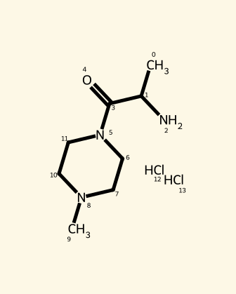 CC(N)C(=O)N1CCN(C)CC1.Cl.Cl